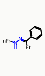 CCCN/N=C(\CC)c1ccccc1